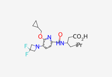 CC(C)CC(CC(=O)O)NC(=O)c1ccc(N2CC(F)(F)C2)c(OCC2CC2)n1